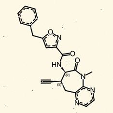 C#C[C@@H]1Cc2nccnc2N(C)C(=O)[C@@H]1NC(=O)c1cc(Cc2ccccc2)on1